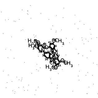 COc1cc(CN(Cc2ccc(OC)cc2OC)S(=O)(=O)c2cc(N3CCC(C)(OC)CC3)ccc2OC)cc(OC)c1